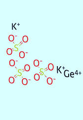 O=S(=O)([O-])[O-].O=S(=O)([O-])[O-].O=S(=O)([O-])[O-].[Ge+4].[K+].[K+]